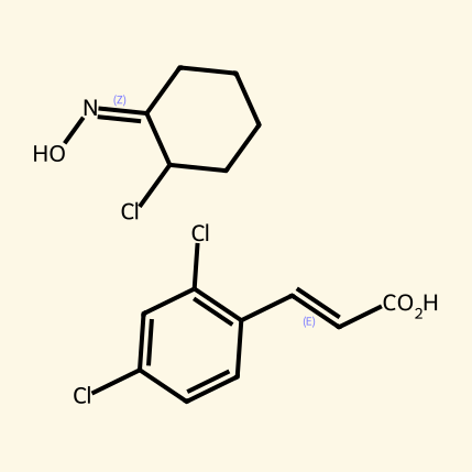 O/N=C1/CCCCC1Cl.O=C(O)/C=C/c1ccc(Cl)cc1Cl